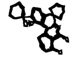 O=CC1(c2ccc3c(c2)-n2c(nc(=O)c4c(Cl)cccc42)C32CCCCC2)CCCCC1